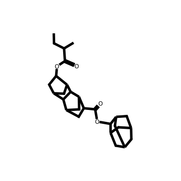 CCC(C)C(=O)OC1CC2CC1C1C3CC(CC3C(=O)OC3C4CC5CC(C4)CC3C5)C21